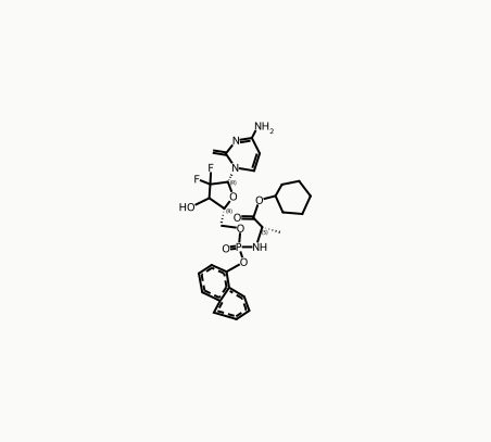 C=C1N=C(N)C=CN1[C@@H]1O[C@H](COP(=O)(N[C@@H](C)C(=O)OC2CCCCC2)Oc2cccc3ccccc23)C(O)C1(F)F